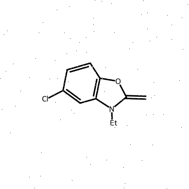 C=C1Oc2ccc(Cl)cc2N1CC